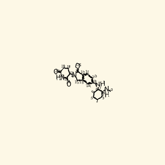 CN[C@H]1CCCC[C@H]1Nc1ccc2c(c1)CN(C1CCC(=O)NC1=O)C2=O